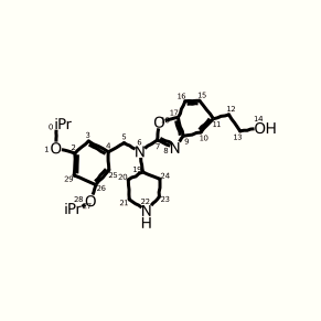 CC(C)Oc1cc(CN(c2nc3cc(CCO)ccc3o2)C2CCNCC2)cc(OC(C)C)c1